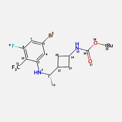 C[C@H](Nc1cc(Br)cc(F)c1C(F)(F)F)C1CC(NC(=O)OC(C)(C)C)C1